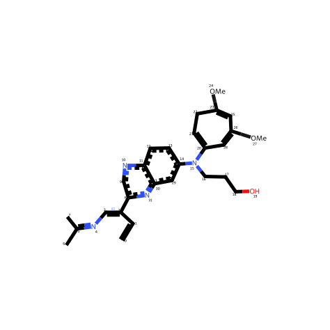 C=C/C(=C\N=C(C)C)c1cnc2ccc(N(CCCO)C3=CCC(OC)=CC(OC)=C3)cc2n1